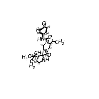 [CH2]CC1CN(C(=O)C2CN(C(C)(C)C)CCN2)CCN1C(=O)Nc1ccc(Cl)c(F)c1